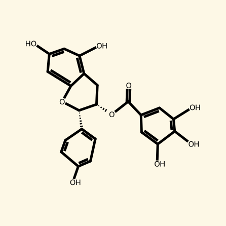 O=C(O[C@H]1Cc2c(O)cc(O)cc2O[C@H]1c1ccc(O)cc1)c1cc(O)c(O)c(O)c1